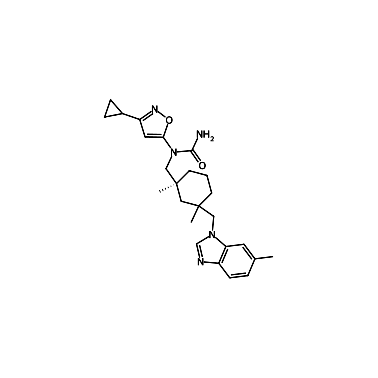 Cc1ccc2ncn(CC3(C)CCC[C@](C)(CN(C(N)=O)c4cc(C5CC5)no4)C3)c2c1